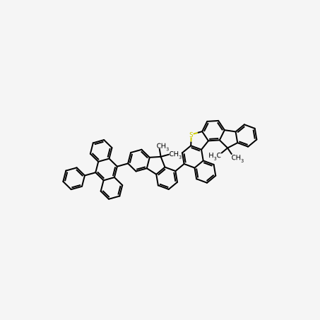 CC1(C)c2ccc(-c3c4ccccc4c(-c4ccccc4)c4ccccc34)cc2-c2cccc(-c3cc4sc5ccc6c(c5c4c4ccccc34)C(C)(C)c3ccccc3-6)c21